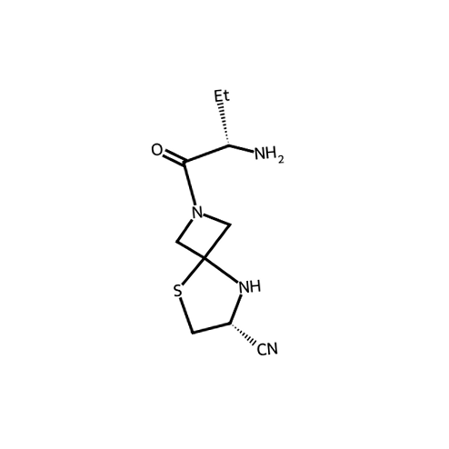 CC[C@H](N)C(=O)N1CC2(C1)N[C@H](C#N)CS2